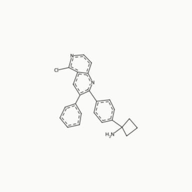 NC1(c2ccc(-c3nc4ccnc(Cl)c4cc3-c3ccccc3)cc2)CCC1